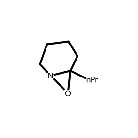 CCCC12CCCCN1O2